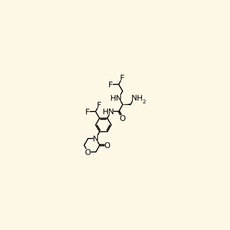 NC[C@H](NCC(F)F)C(=O)Nc1ccc(N2CCOCC2=O)cc1C(F)F